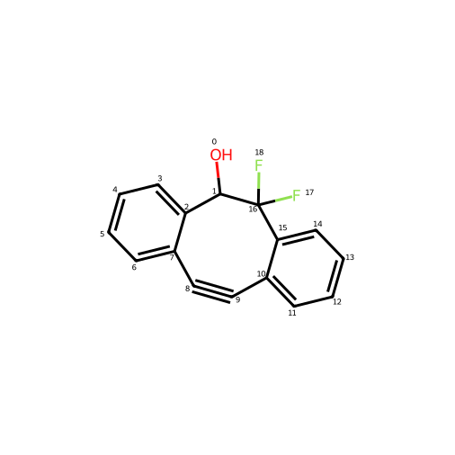 OC1c2ccccc2C#Cc2ccccc2C1(F)F